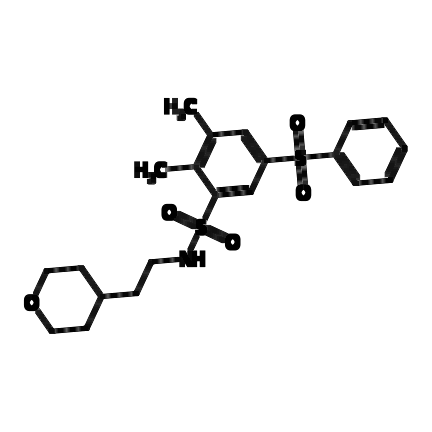 Cc1cc(S(=O)(=O)c2ccccc2)cc(S(=O)(=O)NCCC2CCOCC2)c1C